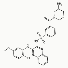 COc1ccc(Cl)c(Nc2nc3ccccc3nc2NS(=O)(=O)c2cccc(C(=O)N3CCCC(N)C3)c2)c1